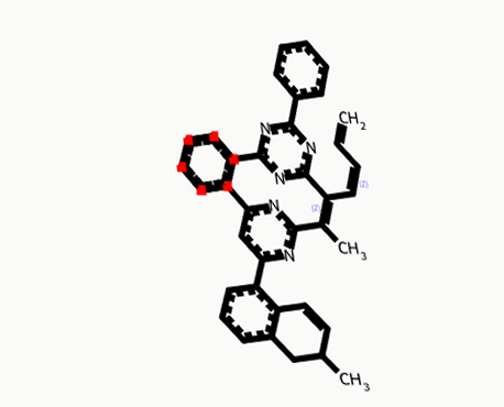 C=C/C=C\C(=C(/C)c1nc(-c2ccccc2)cc(-c2cccc3c2C=CC(C)C3)n1)c1nc(-c2ccccc2)nc(-c2ccccc2)n1